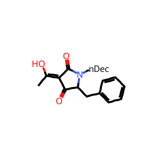 CCCCCCCCCCN1C(=O)C(=C(C)O)C(=O)C1Cc1ccccc1